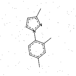 Cc1ccc(-n2[c]cc(C)n2)c(C)c1